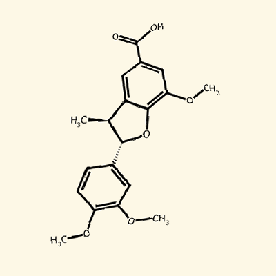 COc1ccc([C@H]2Oc3c(OC)cc(C(=O)O)cc3[C@@H]2C)cc1OC